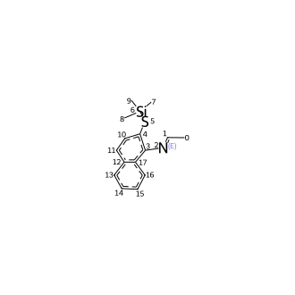 C/C=N/c1c(S[Si](C)(C)C)ccc2ccccc12